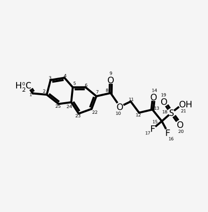 C=Cc1ccc2cc(C(=O)OCCC(=O)C(F)(F)S(=O)(=O)O)ccc2c1